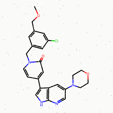 COCc1cc(Cl)cc(Cn2ccc(-c3c[nH]c4ncc(N5CCOCC5)cc34)cc2=O)c1